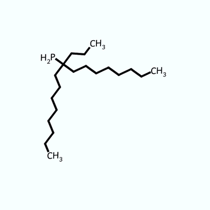 CCCCCCCCC(P)(CCC)CCCCCCCC